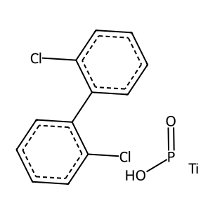 Clc1ccccc1-c1ccccc1Cl.O=PO.[Ti]